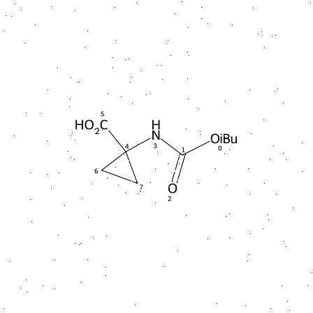 CC(C)COC(=O)NC1(C(=O)O)CC1